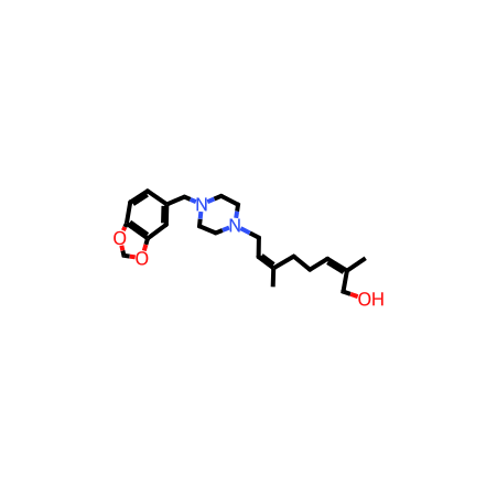 CC(=CCCC(C)=CCN1CCN(Cc2ccc3c(c2)OCO3)CC1)CO